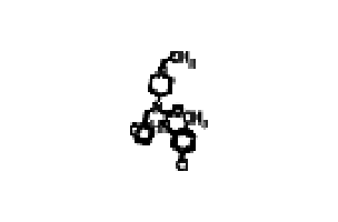 CCN1CCC(N(Cc2ccco2)C(=O)Nc2cc(Cl)ccc2C)CC1